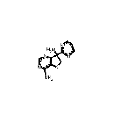 Nc1ncnc2c1SCC2(N)c1ncccn1